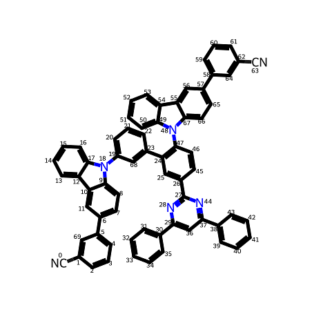 N#Cc1cccc(-c2ccc3c(c2)c2ccccc2n3-c2cccc(-c3cc(-c4nc(-c5ccccc5)cc(-c5ccccc5)n4)ccc3-n3c4ccccc4c4cc(-c5cccc(C#N)c5)ccc43)c2)c1